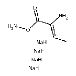 CC=C(N)C(=O)ON.[NaH].[NaH].[NaH].[NaH]